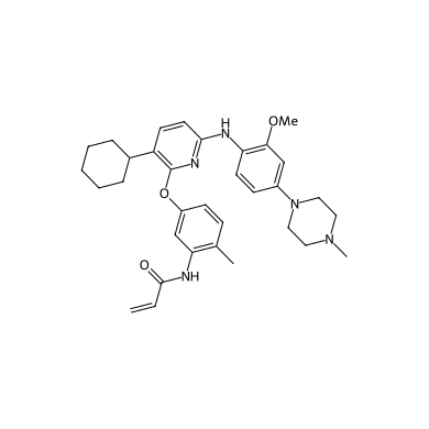 C=CC(=O)Nc1cc(Oc2nc(Nc3ccc(N4CCN(C)CC4)cc3OC)ccc2C2CCCCC2)ccc1C